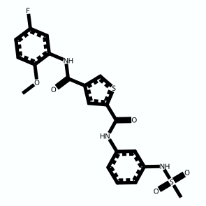 COc1ccc(F)cc1NC(=O)c1csc(C(=O)Nc2cccc(NS(C)(=O)=O)c2)c1